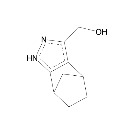 OCc1n[nH]c2c1C1CCC2C1